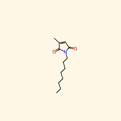 CCCCCCCCN1C(=O)C=C(C)C1=O